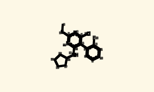 CSc1nc(Cl)c(-c2ccccc2F)c(NC2CCCC2)n1